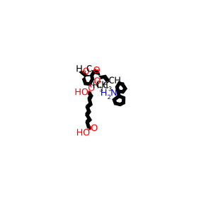 CO[C@@H]1[C@H](OC(O)/C=C/C=C/C=C/C=C/C(=O)O)CC[C@]2(CO2)[C@H]1[C@@]1(C)O[C@@H]1CC=C(C)C.NC1(C2CCCCC2)CCCCC1